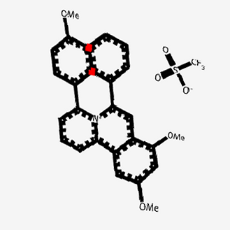 COc1ccc(-c2cccc3c4cc(OC)cc(OC)c4cc(-c4ccccc4)[n+]23)cc1.O=S(=O)([O-])C(F)(F)F